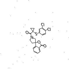 O=C1OC2(CCN(C(=O)C3(Sc4ccc(Cl)c(Cl)c4)CC3)C2)c2ccccc21